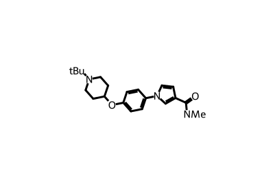 CNC(=O)c1ccn(-c2ccc(OC3CCN(C(C)(C)C)CC3)cc2)c1